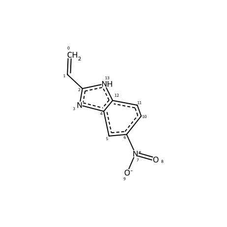 C=Cc1nc2cc([N+](=O)[O-])ccc2[nH]1